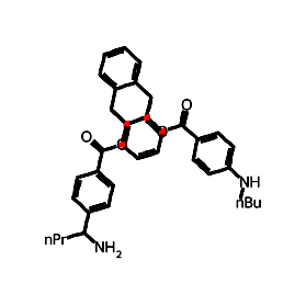 CCCCNc1ccc(C(=O)OC2C3c4ccccc4C(c4ccccc43)C2OC(=O)c2ccc(C(N)CCC)cc2)cc1